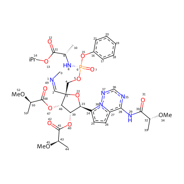 C/N=C\[C@]1(CO[P@@](=O)(N[C@@H](C)C(=O)OC(C)C)Oc2ccccc2)O[C@@H](c2ccc3c(NC(=O)[C@@H](C)OC)ncnn23)[C@H](OC(=O)[C@@H](C)OC)[C@@H]1OC(=O)[C@@H](C)OC